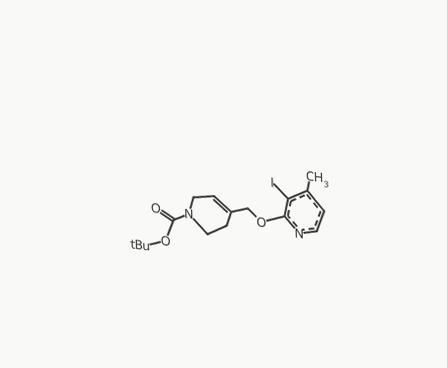 Cc1ccnc(OCC2=CCN(C(=O)OC(C)(C)C)CC2)c1I